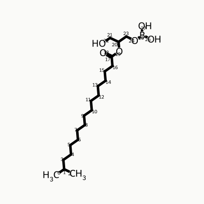 CC(C)CCCCCCCCCCCCCCC(=O)OC(CO)COB(O)O